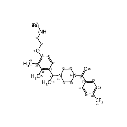 CCC(C)NCCOc1ccc(C(C)N2CCN(C(=O)c3ccc(C(F)(F)F)cc3)CC2)c(C)c1C